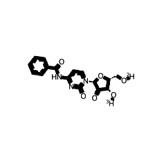 [2H]OC[C@H]1O[C@@H](n2ccc(NC(=O)c3ccccc3)nc2=O)C(=O)[C@H]1O[3H]